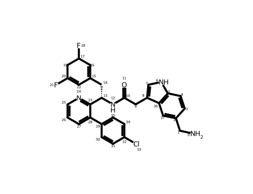 NCc1ccc2[nH]cc(CC(=O)N[C@@H](CC3=CC(F)CC(F)=C3)c3ncccc3-c3ccc(Cl)cc3)c2c1